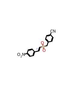 N#Cc1ccc(CS(=O)(=O)/C=C/c2ccc([N+](=O)[O-])cc2)cc1